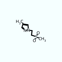 Cc1cnn(CCS(C)(=O)=O)c1